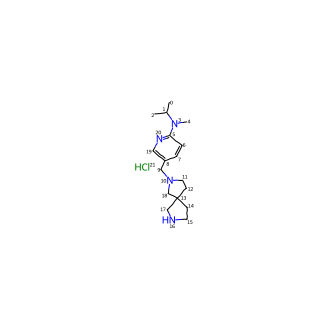 CC(C)N(C)c1ccc(CN2CCC3(CCNC3)C2)cn1.Cl